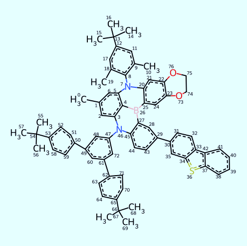 Cc1cc2c3c(c1)N(c1c(C)cc(C(C)(C)C)cc1C)c1cc4c(cc1B3c1cc(-c3ccc5c(c3)sc3ccccc35)ccc1N2c1cc(-c2ccc(C(C)(C)C)cc2)cc(-c2ccc(C(C)(C)C)cc2)c1)OCCO4